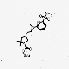 CN(CC[C@@H]1CN(C(=O)OC(C)(C)C)C(C)(C)C1)c1cccc(S(N)(=O)=O)n1